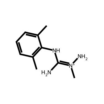 Cc1cccc(C)c1NC(N)=[N+](C)N